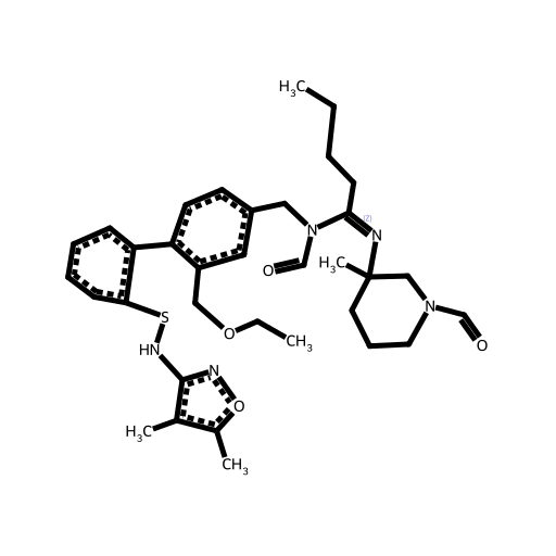 CCCC/C(=N/C1(C)CCCN(C=O)C1)N(C=O)Cc1ccc(-c2ccccc2SNc2noc(C)c2C)c(COCC)c1